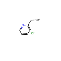 [Cl-].[Zn+][CH2]c1ccccn1